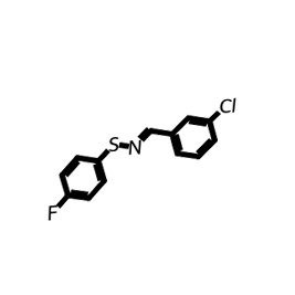 Fc1ccc(S/N=C/c2cccc(Cl)c2)cc1